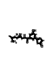 C/C(N)=C/C=C(\N)CNC(=O)c1cc(O)cc(-c2ncc(Cl)s2)c1